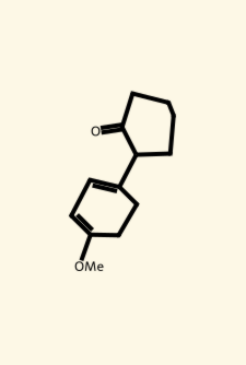 COC1=CC=C(C2CCCCC2=O)CC1